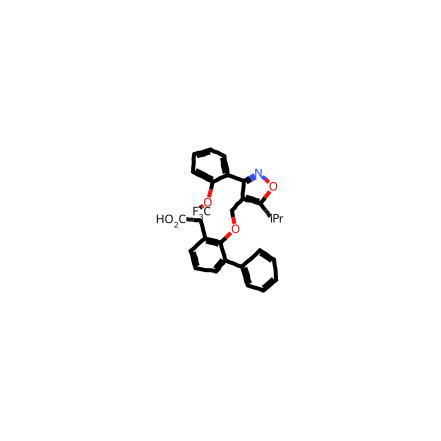 CC(C)c1onc(-c2ccccc2OC(F)(F)F)c1COc1c(CC(=O)O)cccc1-c1ccccc1